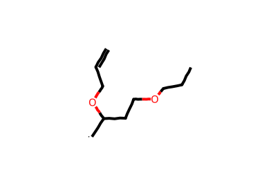 [CH2]C(CCOCCC)OCC=C